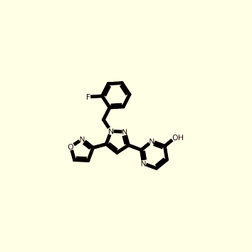 Oc1ccnc(-c2cc(-c3ccon3)n(Cc3ccccc3F)n2)n1